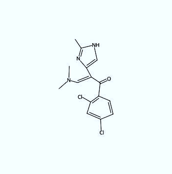 Cc1nc(C(=CN(C)C)C(=O)c2ccc(Cl)cc2Cl)c[nH]1